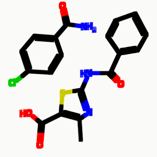 Cc1nc(NC(=O)c2ccccc2)sc1C(=O)O.NC(=O)c1ccc(Cl)cc1